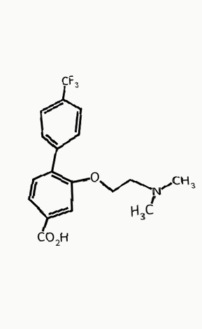 CN(C)CCOc1cc(C(=O)O)ccc1-c1ccc(C(F)(F)F)cc1